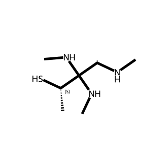 CN[CH]C(NC)(NC)[C@H](C)S